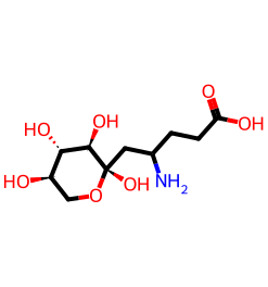 NC(CCC(=O)O)C[C@]1(O)OC[C@@H](O)[C@H](O)[C@H]1O